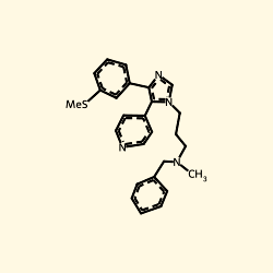 CSc1cccc(-c2ncn(CCCN(C)Cc3ccccc3)c2-c2ccncc2)c1